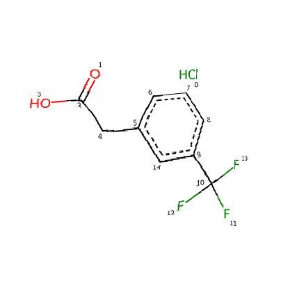 Cl.O=C(O)Cc1cccc(C(F)(F)F)c1